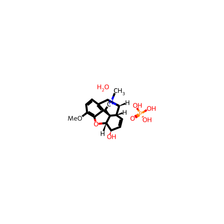 COc1ccc2c3c1O[C@H]1[C@@H](O)C=C[C@H]4[C@@H](C2)N(C)CC[C@@]341.O.O=P(O)(O)O